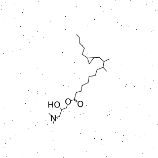 CCCCCC1CC1CC(C)C(C)CCCCCCCC(=O)OCC(O)CN(C)C